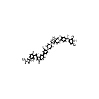 CCN(C)S(=O)(=O)Nc1ccc(F)c(C(=O)c2c[nH]c3ncc(-c4ccc(N5CCN(C(=O)CC6(O)CCN(c7ccc(NC8CCC(=O)NC8=O)cc7F)CC6)CC5)c(C)c4)cc23)c1F